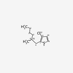 CCCC[C@H](C)Cc1sccc1Cl